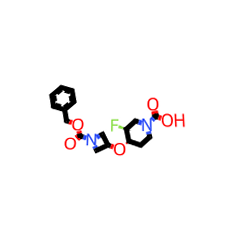 O=C(O)N1CC[C@H](OC2CN(C(=O)OCc3ccccc3)C2)[C@@H](F)C1